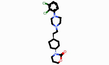 O=C1OCCCN1[C@H]1CC[C@H](CCN2CCN(c3cccc(Cl)c3Cl)CC2)CC1